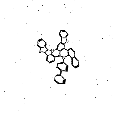 c1ccc(-c2ccc(N3B4c5cccc6c5N(c5cc7c(oc8ccccc87)c(c54)-c4ccc5ccccc5c43)C3c4ccccc4SC63)cc2)cc1